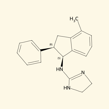 Cc1cccc2c1C[C@H](c1ccccc1)[C@@H]2NC1=NCCN1